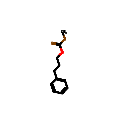 CSC(=S)OCCCc1ccccc1